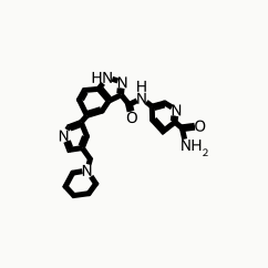 NC(=O)c1ccc(NC(=O)c2n[nH]c3ccc(-c4cncc(CN5CCCCC5)c4)cc23)cn1